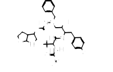 COC(=O)NC(C(=O)NC(Cc1ccc(C)cc1)C(O)CN(Cc1ccccc1)NC(=O)OC1COC2OCCC12)C(C)(C)C